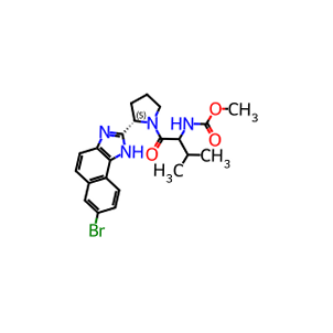 COC(=O)NC(C(=O)N1CCC[C@H]1c1nc2ccc3cc(Br)ccc3c2[nH]1)C(C)C